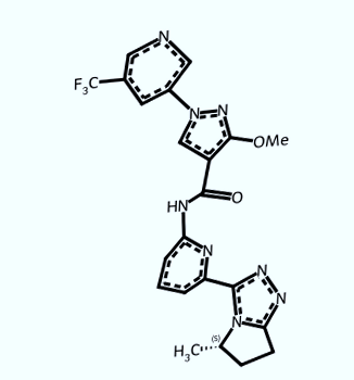 COc1nn(-c2cncc(C(F)(F)F)c2)cc1C(=O)Nc1cccc(-c2nnc3n2[C@@H](C)CC3)n1